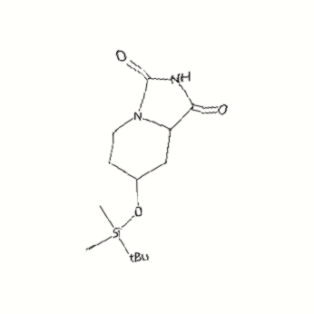 CC(C)(C)[Si](C)(C)OC1CCN2C(=O)NC(=O)C2C1